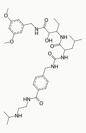 CCC(NC(=O)C(CC(C)C)NC(=O)NCc1ccc(C(=O)NCCNC(C)C)cc1)C(O)C(=O)NCc1cc(OC)cc(OC)c1